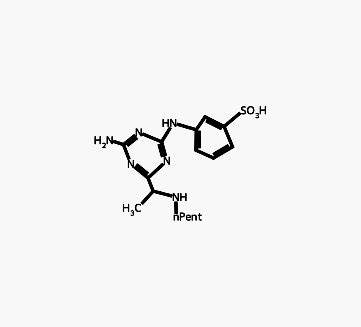 CCCCCNC(C)c1nc(N)nc(Nc2cccc(S(=O)(=O)O)c2)n1